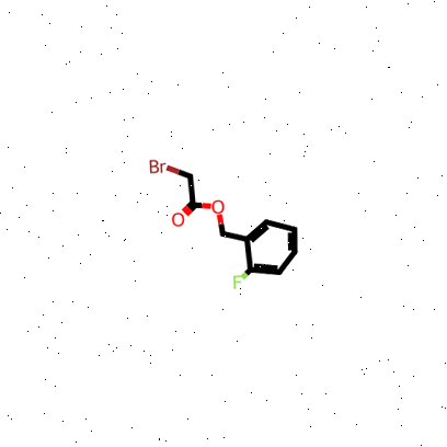 O=C(CBr)OCc1ccccc1F